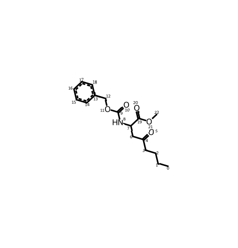 CCCCC(=O)CC(NC(=O)OCc1ccccc1)C(=O)OC